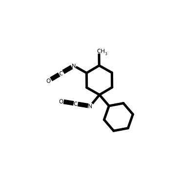 CC1CCC(N=C=O)(C2CCCCC2)CC1N=C=O